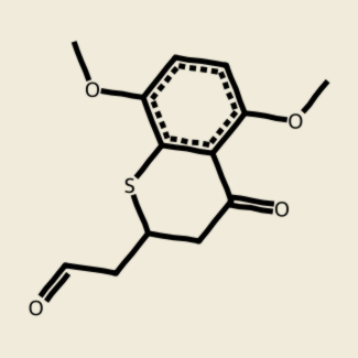 COc1ccc(OC)c2c1SC(CC=O)CC2=O